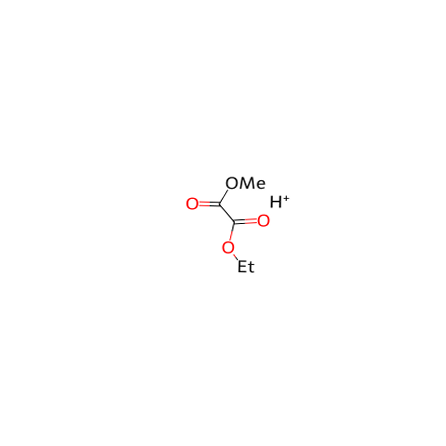 CCOC(=O)C(=O)OC.[H+]